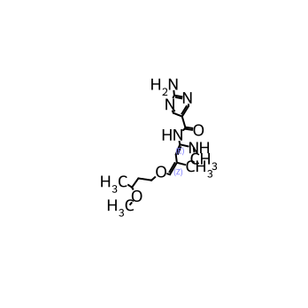 CN/C(=C\C(C)=C/OCCC(C)OC)NC(=O)c1cnc(N)nc1